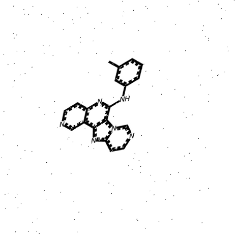 Cc1cccc(Nc2nc3ccncc3c3nc4ccncn4c23)c1